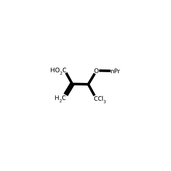 C=C(C(=O)O)C(OCCC)C(Cl)(Cl)Cl